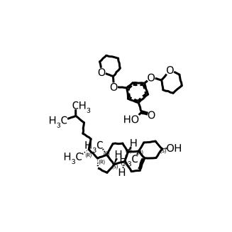 CC(C)CCC[C@@H](C)[C@H]1CC[C@H]2[C@@H]3CC=C4C[C@@H](O)CC[C@]4(C)[C@H]3CC[C@]12C.O=C(O)c1cc(OC2CCCCO2)cc(OC2CCCCO2)c1